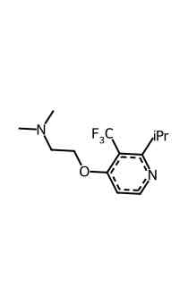 CC(C)c1nccc(OCCN(C)C)c1C(F)(F)F